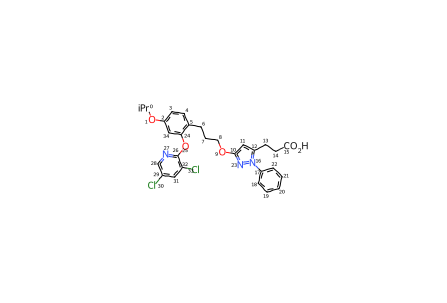 CC(C)Oc1ccc(CCCOc2cc(CCC(=O)O)n(-c3ccccc3)n2)c(Oc2ncc(Cl)cc2Cl)c1